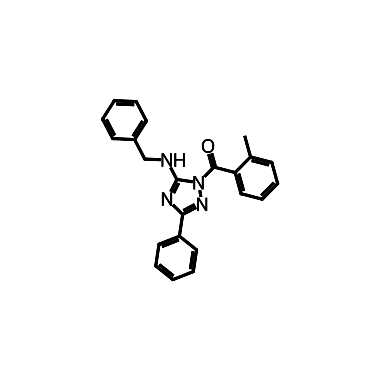 Cc1ccccc1C(=O)n1nc(-c2ccccc2)nc1NCc1ccccc1